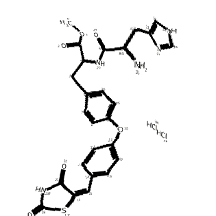 COC(=O)C(Cc1ccc(Oc2ccc(C=C3SC(=O)NC3=O)cc2)cc1)NC(=O)C(N)Cc1c[nH]cn1.Cl.Cl